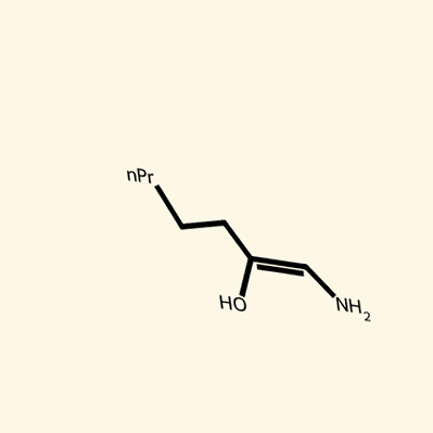 CCCCC/C(O)=C/N